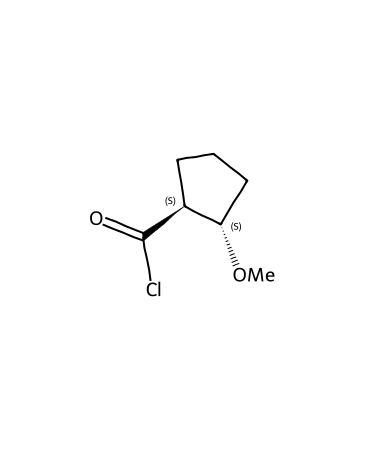 CO[C@H]1CCC[C@@H]1C(=O)Cl